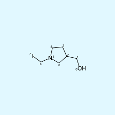 OCC1CCN(CI)C1